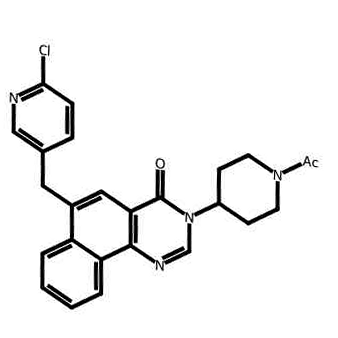 CC(=O)N1CCC(n2cnc3c(cc(Cc4ccc(Cl)nc4)c4ccccc43)c2=O)CC1